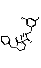 O=C(NCc1cc(F)cc(Cl)c1)[C@]1(O)CCCN(Cc2ccccc2)C1=O